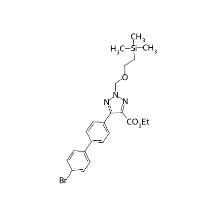 CCOC(=O)c1nn(COCC[Si](C)(C)C)nc1-c1ccc(-c2ccc(Br)cc2)cc1